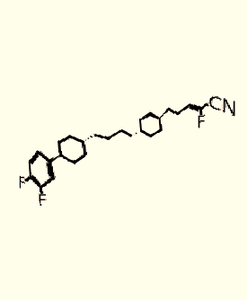 N#CC(F)=CCC[C@H]1CC[C@H](CCCC[C@H]2CC[C@H](c3ccc(F)c(F)c3)CC2)CC1